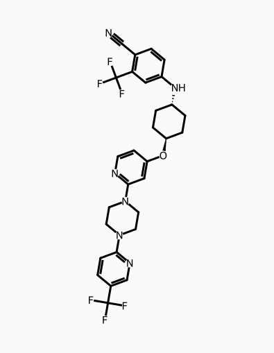 N#Cc1ccc(N[C@H]2CC[C@H](Oc3ccnc(N4CCN(c5ccc(C(F)(F)F)cn5)CC4)c3)CC2)cc1C(F)(F)F